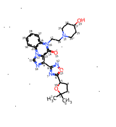 CC1(C)CCC(c2nc(-c3ncn4c3c(=O)n(CCN3CCC(O)CC3)c3ccccc34)no2)O1